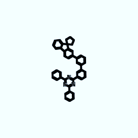 c1ccc(-c2nc(-c3ccccc3)nc(-c3cccc(-c4cccc(-c5ccc6c(c5)C5(CCCC5)c5ccccc5-6)c4)c3)n2)cc1